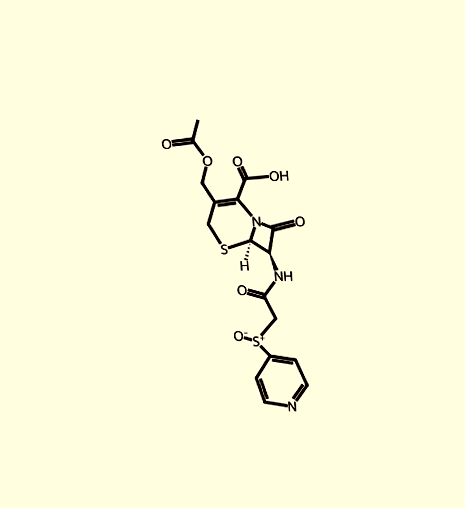 CC(=O)OCC1=C(C(=O)O)N2C(=O)[C@@H](NC(=O)C[S+]([O-])c3ccncc3)[C@H]2SC1